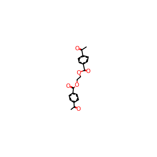 CC(=O)c1ccc(C(=O)OCCOC(=O)c2ccc(C(C)=O)cc2)cc1